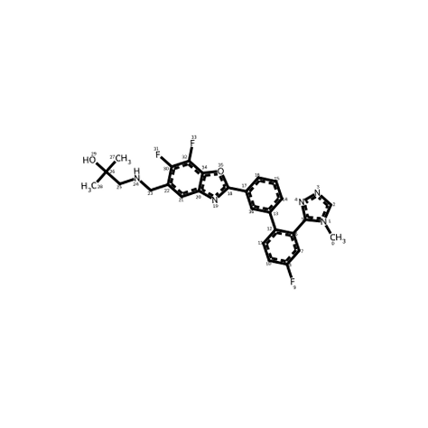 Cn1cnnc1-c1cc(F)ccc1-c1cccc(-c2nc3cc(CNCC(C)(C)O)c(F)c(F)c3o2)c1